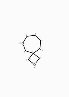 C1COCC2(COC2)SC1